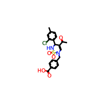 CC(=O)C1=CN(Cc2ccc(C(=O)O)cc2)S(=O)(=O)NC1c1ccc(C)cc1Cl